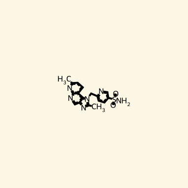 Cc1ccc2c(ncc3nc(C)n(Cc4ccc(S(N)(=O)=O)cn4)c32)n1